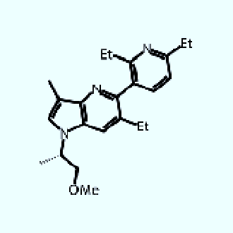 CCc1ccc(-c2nc3c(C)cn([C@@H](C)COC)c3cc2CC)c(CC)n1